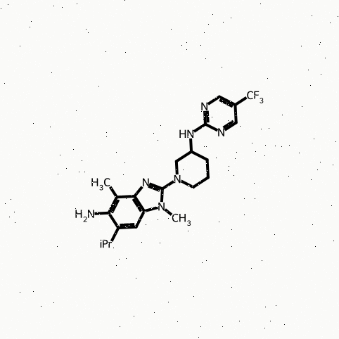 Cc1c(N)c(C(C)C)cc2c1nc(N1CCCC(Nc3ncc(C(F)(F)F)cn3)C1)n2C